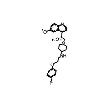 COc1ccc2nccc([C@@H](O)CN3CCC(NCCOc4ccc(F)cc4)CC3)c2c1